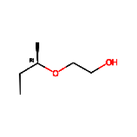 CC[C@@H](C)OCCO